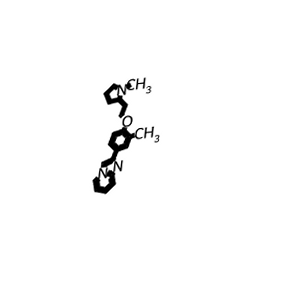 Cc1cc(-c2cn3ccccc3n2)ccc1OCCC1CCCN1C